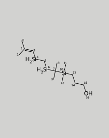 CC(C)=C[SiH2]C[SiH2]C(C)(C)[Si](C)(C)CCCO